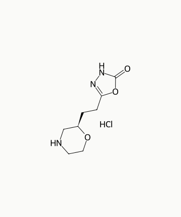 Cl.O=c1[nH]nc(CC[C@@H]2CNCCO2)o1